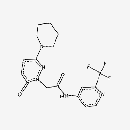 O=C(Cn1nc(N2CCCCC2)ccc1=O)Nc1ccnc(C(F)(F)F)c1